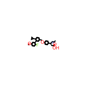 C/C=C/[C@@H](CC(=O)O)c1ccc(OCc2ccc(C3CC3)c(-c3cc(OC)ccc3F)c2)cc1